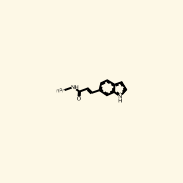 CCCNC(=O)C=Cc1ccc2cc[nH]c2c1